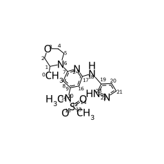 CC1COCCN1c1cc(N(C)S(C)(=O)=O)cc(Nc2ccn[nH]2)n1